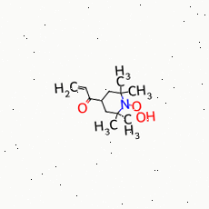 C=CC(=O)C1CC(C)(C)N(OO)C(C)(C)C1